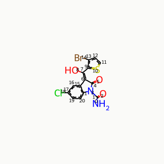 NC(=O)N1C(=O)C(=C(O)c2sccc2Br)c2cc(Cl)ccc21